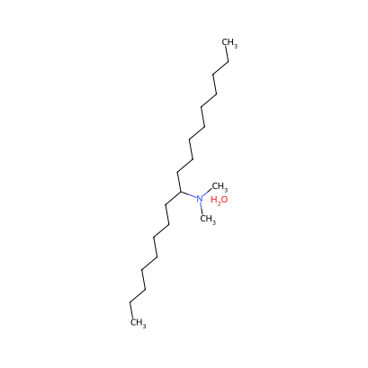 CCCCCCCCCC(CCCCCCCC)N(C)C.O